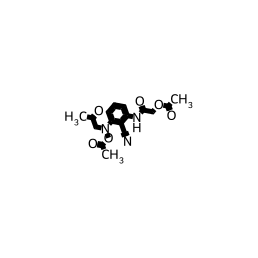 CC(=O)CN(OC(C)=O)c1cccc(NC(=O)COC(C)=O)c1C#N